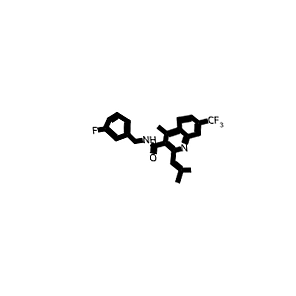 CC(C)=Cc1nc2cc(C(F)(F)F)ccc2c(C)c1C(=O)NCc1cccc(F)c1